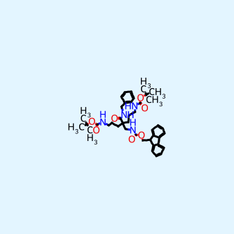 CC(C)(C)OC(=O)NCCCC(CCCNC(=O)OC(C)(C)C)(CNC(=O)OCC1c2ccccc2-c2ccccc21)C(=O)NCc1ccccc1